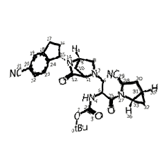 CC(C)(C)OC(=O)NC(CN1C[C@@H]2CC1C(=O)N2[C@H]1CCc2cc(C#N)ccc21)C(=O)N1C(C#N)C[C@@H]2C[C@@H]21